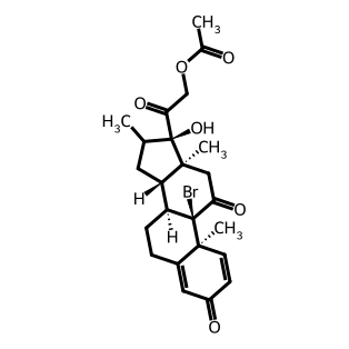 CC(=O)OCC(=O)[C@@]1(O)C(C)C[C@H]2[C@@H]3CCC4=CC(=O)C=C[C@]4(C)[C@@]3(Br)C(=O)C[C@@]21C